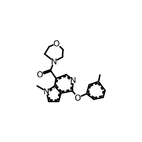 Cc1cccc(Oc2ncc(C(=O)N3CCOCC3)c3c2ccn3C)c1